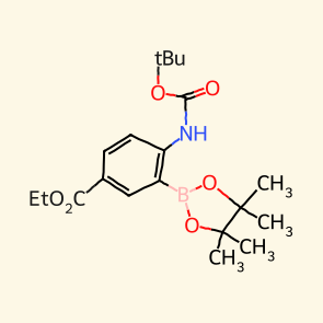 CCOC(=O)c1ccc(NC(=O)OC(C)(C)C)c(B2OC(C)(C)C(C)(C)O2)c1